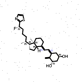 C=C1/C(=C\C=C2/CCC[C@]3(C)[C@@H]([C@H](C)CCC[C@H](F)c4nccs4)CC[C@@H]23)C[C@@H](O)C[C@@H]1O